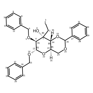 O[C@@]1(CI)[C@H](OCc2ccccc2)[C@@H](OCc2ccccc2)O[C@@H]2COC(c3ccccc3)O[C@H]21